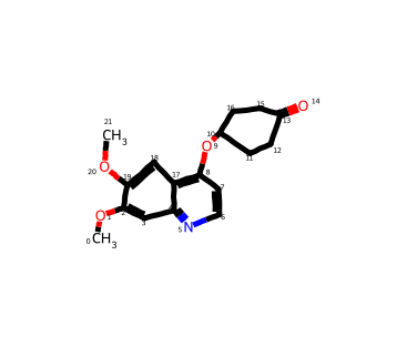 COc1cc2nccc(OC3CCC(=O)CC3)c2cc1OC